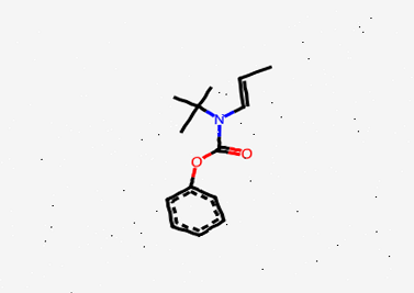 CC=CN(C(=O)Oc1ccccc1)C(C)(C)C